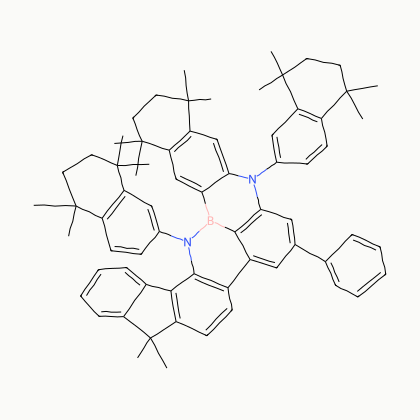 CC1(C)CCC(C)(C)c2cc(N3B4c5cc6c(cc5N(c5ccc7c(c5)C(C)(C)CCC7(C)C)c5cc(-c7ccccc7)cc(c54)-c4ccc5c(c43)-c3ccccc3C5(C)C)C(C)(C)CCC6(C)C)ccc21